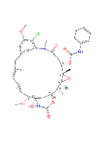 COc1cc2cc(c1Cl)N(C)C(=O)C[C@H](OC(=O)NC1=CC=CCC1)[C@]1(C)O[C@H]1[C@H](C)[C@@H]1C[C@@](O)(NC(=O)O1)[C@H](OC)/C=C/C=C(\C)C2